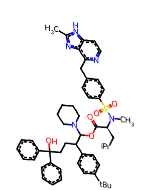 Cc1nc2c(Cc3ccc(S(=O)(=O)N(C)[C@@H](CC(C)C)C(=O)OC(C(CCC(O)(c4ccccc4)c4ccccc4)c4ccc(C(C)(C)C)cc4)N4CCCCC4)cc3)nccc2[nH]1